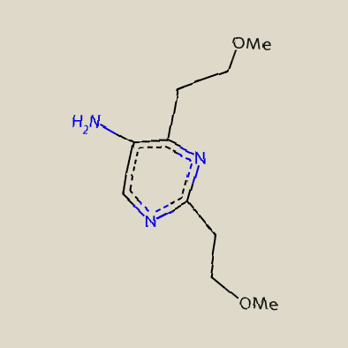 COCCc1ncc(N)c(CCOC)n1